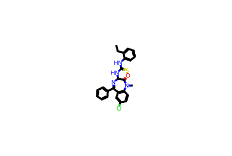 CCc1ccccc1NC(=S)NC1N=C(c2ccccc2)c2cc(Cl)ccc2N(C)C1=O